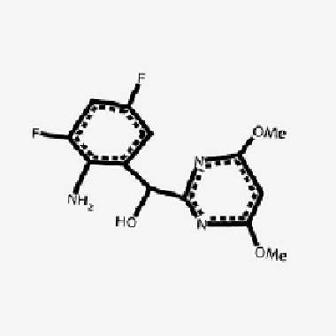 COc1cc(OC)nc(C(O)c2cc(F)cc(F)c2N)n1